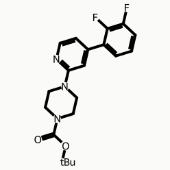 CC(C)(C)OC(=O)N1CCN(c2cc(-c3cccc(F)c3F)ccn2)CC1